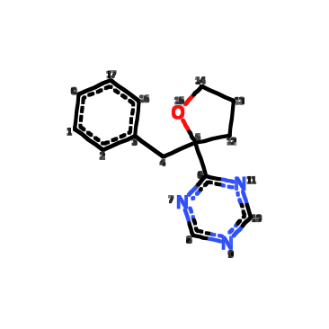 c1ccc(CC2(c3ncncn3)CCCO2)cc1